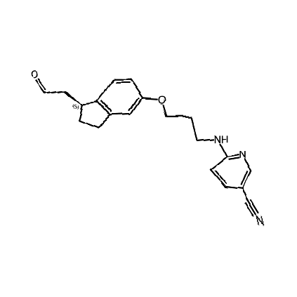 N#Cc1ccc(NCCCOc2ccc3c(c2)CC[C@H]3CC=O)nc1